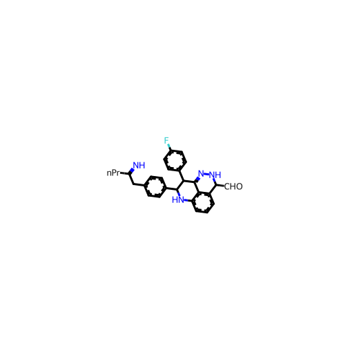 CCCC(=N)Cc1ccc(C2Nc3cccc4c3C(=NNC4C=O)C2c2ccc(F)cc2)cc1